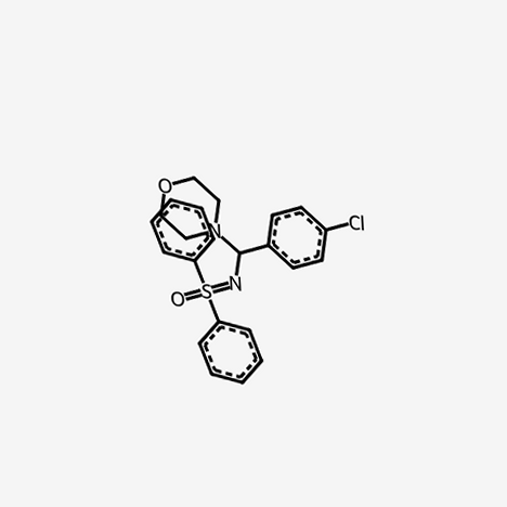 O=S(=NC(c1ccc(Cl)cc1)N1CCOCC1)(c1ccccc1)c1ccccc1